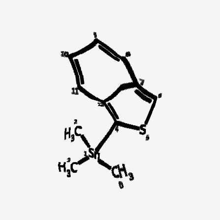 [CH3][Sn]([CH3])([CH3])[c]1scc2ccccc12